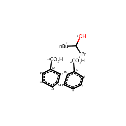 CCCCC(O)C(C)C.O=C(O)c1ccccc1.O=C(O)c1ccccc1